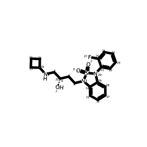 O=S1(=O)N(CC[C@H](O)CNC2CCC2)c2ccccc2N1c1ccccc1F